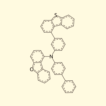 c1ccc(-c2ccc(N(c3cccc(-c4cccc5sc6ccccc6c45)c3)c3cccc4oc5ccccc5c34)cc2)cc1